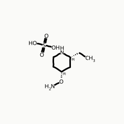 CC[C@@H]1C[C@H](ON)CCN1.O=S(=O)(O)O